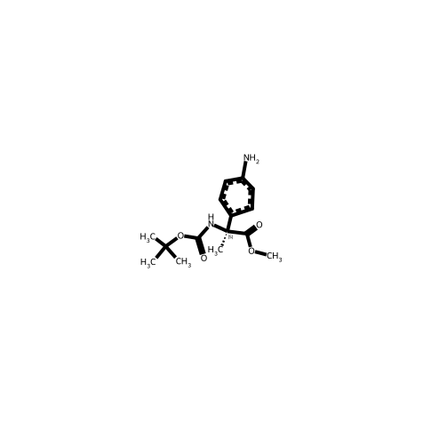 COC(=O)[C@@](C)(NC(=O)OC(C)(C)C)c1ccc(N)cc1